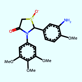 COc1ccc(C2N(c3cc(OC)c(OC)c(OC)c3)C(=O)C[S+]2[O-])cc1N